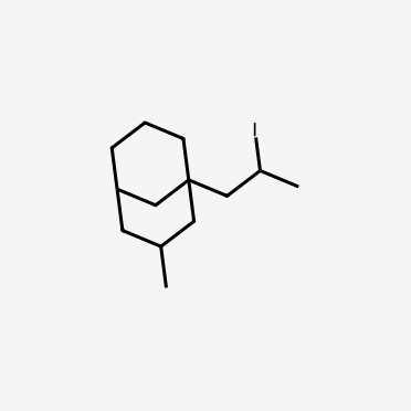 CC(I)CC12CCCC(CC(C)C1)C2